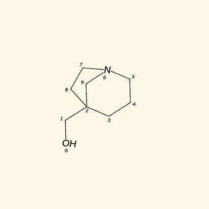 OCC12CCCN(CC1)C2